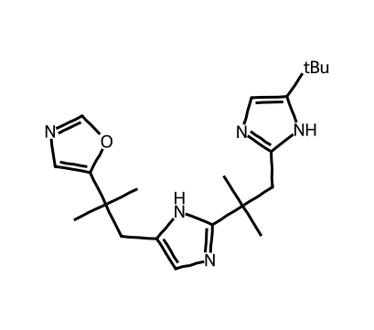 CC(C)(C)c1cnc(CC(C)(C)c2ncc(CC(C)(C)c3cnco3)[nH]2)[nH]1